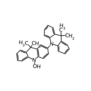 CC1(C)c2ccccc2N(O)c2ccc(N3c4ccccc4C(C)(C)c4ccccc43)cc21